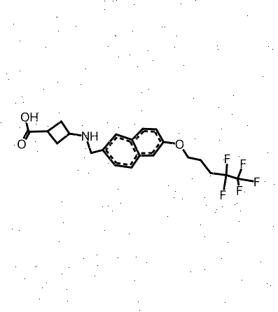 O=C(O)C1CC(NCc2ccc3cc(OCCCC(F)(F)C(F)(F)F)ccc3c2)C1